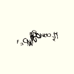 O=C(O)CNc1ccc2c(c1)OCCn1cc(-c3ncnn3CC(F)(F)F)nc1-2